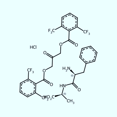 C[C@H](NC(=O)[C@@H](N)Cc1ccccc1)C(=O)O.Cl.O=C(COC(=O)c1c(C(F)(F)F)cccc1C(F)(F)F)COC(=O)c1c(C(F)(F)F)cccc1C(F)(F)F